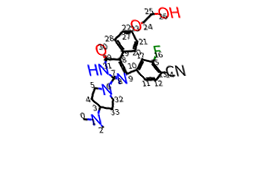 CN(C)C1CCN(c2nc(-c3ccc(C#N)c(F)c3)c(-c3ccc(OCCO)cc3)c(=O)[nH]2)CC1